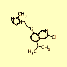 Cc1nccn1CCOc1ccc(C(C)C)c2cc(Cl)ncc12